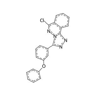 Clc1nn2c(-c3cccc(Oc4ccccc4)c3)nnc2c2ccccc12